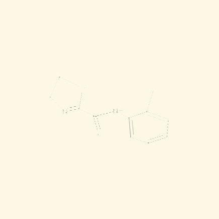 Cc1ccccc1NC(=O)C1=NCCO1